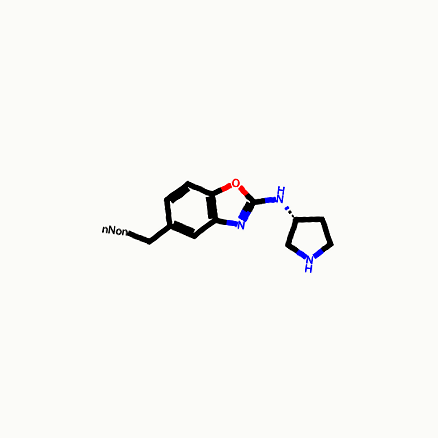 CCCCCCCCCCc1ccc2oc(N[C@@H]3CCNC3)nc2c1